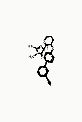 CN1C(=O)[C@]2(N=C1N)c1cc(-c3cccc(C#N)c3)ccc1OC1CCCO[C@@H]12